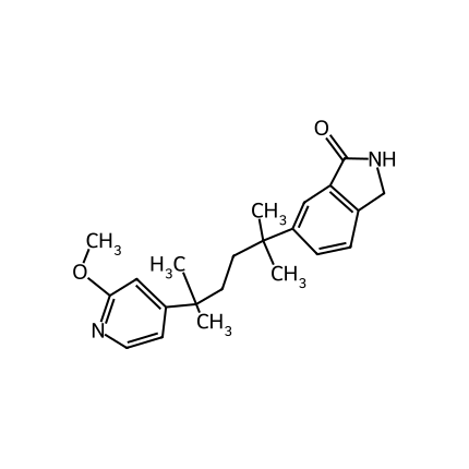 COc1cc(C(C)(C)CCC(C)(C)c2ccc3c(c2)C(=O)NC3)ccn1